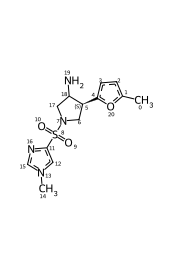 Cc1ccc([C@H]2CN(S(=O)(=O)c3cn(C)cn3)CC2N)o1